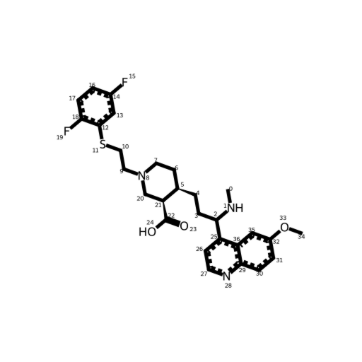 CNC(CC[C@@H]1CCN(CCSc2cc(F)ccc2F)C[C@@H]1C(=O)O)c1ccnc2ccc(OC)cc12